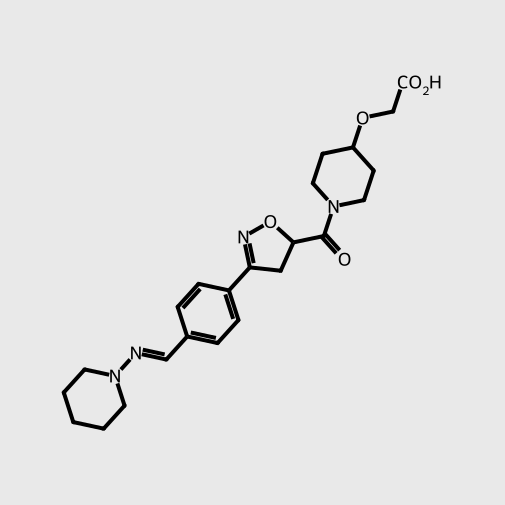 O=C(O)COC1CCN(C(=O)C2CC(c3ccc(/C=N/N4CCCCC4)cc3)=NO2)CC1